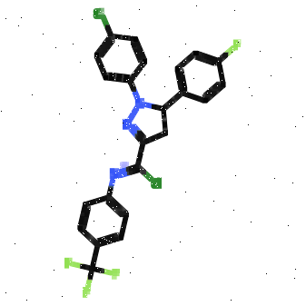 Fc1ccc(C2CC(/C(Cl)=N/c3ccc(C(F)(F)F)cc3)=NN2c2ccc(Cl)cc2)cc1